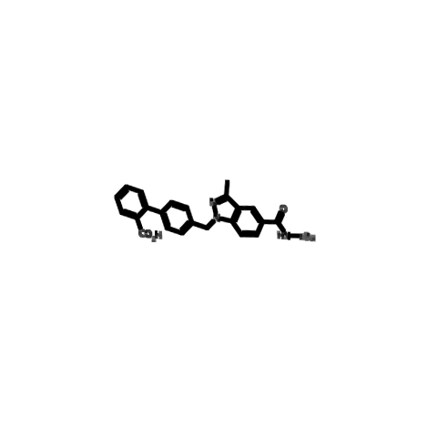 CCCCNC(=O)c1ccc2c(c1)c(C)nn2Cc1ccc(-c2ccccc2C(=O)O)cc1